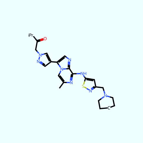 Cc1cn2c(-c3cnn(CC(=O)C(C)C)c3)cnc2c(Nc2cc(CN3CCCCC3)ns2)n1